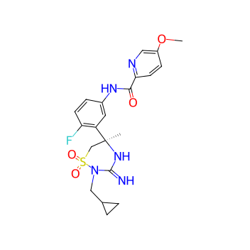 COc1ccc(C(=O)Nc2ccc(F)c([C@]3(C)CS(=O)(=O)N(CC4CC4)C(=N)N3)c2)nc1